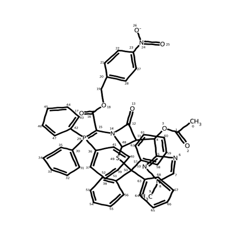 CC(=O)OC(c1ncn(C)n1)C1C(=O)N(C(C(=O)OCc2ccc([N+](=O)[O-])cc2)=P(c2ccccc2)(c2ccccc2)c2ccccc2)C1SC(c1ccccc1)(c1ccccc1)c1ccccc1